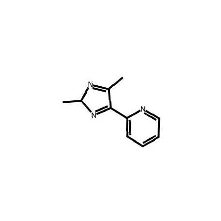 CC1=NC(C)N=C1c1ccccn1